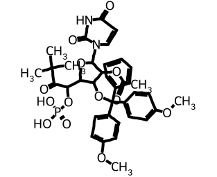 COc1ccc(C(OC2C(C(OP(=O)(O)O)C(=O)C(C)(C)C)OC(n3ccc(=O)[nH]c3=O)C2OC(C)=O)(c2ccccc2)c2ccc(OC)cc2)cc1